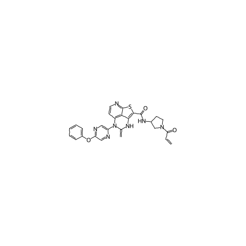 C=CC(=O)N1CCC(NC(=O)c2sc3nccc4c3c2[nH]c(=C)n4-c2cnc(Oc3ccccc3)cn2)C1